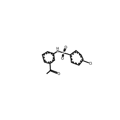 CC(=O)c1cccc(NS(=O)(=O)c2ccc(Cl)cc2)c1